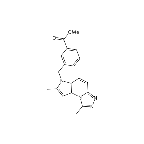 COC(=O)c1cccc(CN2C(C)=CC3C2C=Cc2nnc(C)n23)c1